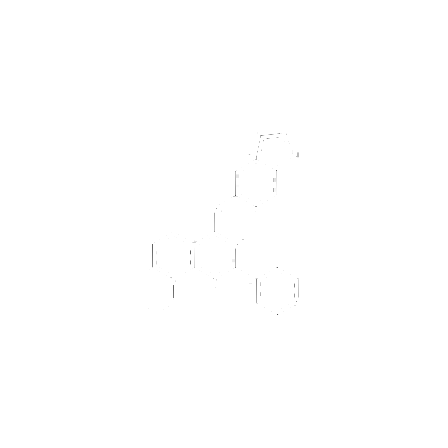 CO[n+]1cccc2c(Nc3ccc4[nH]ncc4c3)nc(-c3ccncc3)nc21